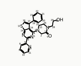 O=C1CN(c2nc(-c3ccccn3)nc3scc(-c4ccccc4)c23)CCN1CCO